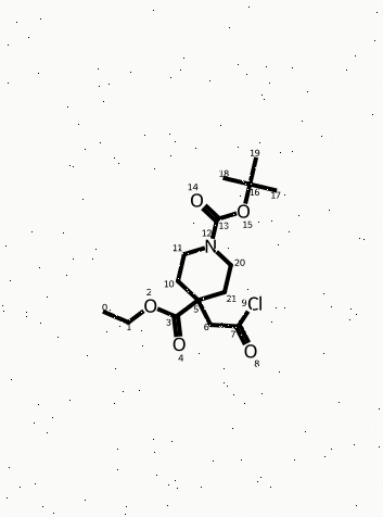 CCOC(=O)C1(CC(=O)Cl)CCN(C(=O)OC(C)(C)C)CC1